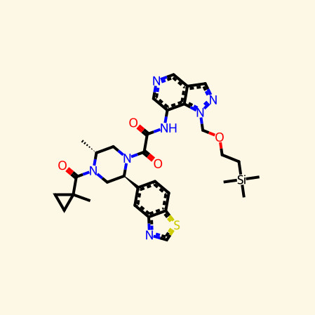 C[C@@H]1CN(C(=O)C(=O)Nc2cncc3cnn(COCC[Si](C)(C)C)c23)[C@@H](c2ccc3scnc3c2)CN1C(=O)C1(C)CC1